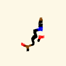 CO.C[S@@+]([O-])CCCCN=C=S